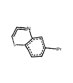 CC(C)c1ccc2c(c1)N=C=CS2